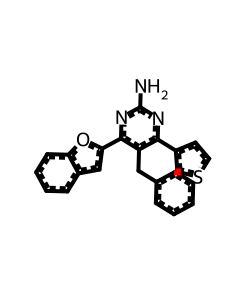 Nc1nc(-c2ccsc2)c(Cc2ccccc2)c(-c2cc3ccccc3o2)n1